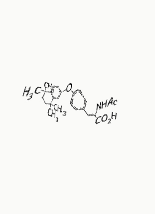 CC(=O)N/C(=C\c1ccc(Oc2ccc3c(c2)C(C)(C)CCC3(C)C)cc1)C(=O)O